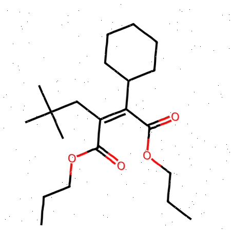 CCCOC(=O)/C(CC(C)(C)C)=C(\C(=O)OCCC)C1CCCCC1